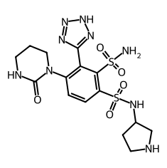 NS(=O)(=O)c1c(S(=O)(=O)NC2CCNC2)ccc(N2CCCNC2=O)c1-c1nn[nH]n1